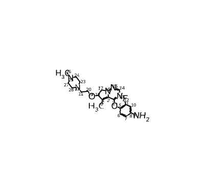 CC1=C2C(Oc3ccc(N)cc3F)=NC=NN2CC1OCCN1CCN(C)CC1